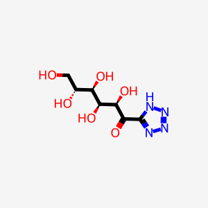 O=C(c1nnn[nH]1)[C@H](O)[C@@H](O)[C@H](O)[C@H](O)CO